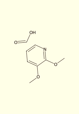 COc1cccnc1OC.O=CO